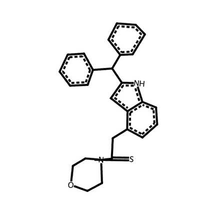 S=C(Cc1cccc2[nH]c(C(c3ccccc3)c3ccccc3)cc12)N1CCOCC1